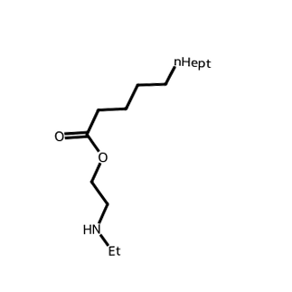 CCCCCCCCCCCC(=O)OCCNCC